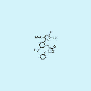 COc1cc(F)c(C(C)C)cc1-c1ccc(C)cc1CN1C(=O)OC[C@H]1Cc1ccccc1